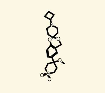 COC1(c2ccc3c(c2)COC2(CCN(C4CCC4)CC2)O3)CCS(=O)(=O)CC1